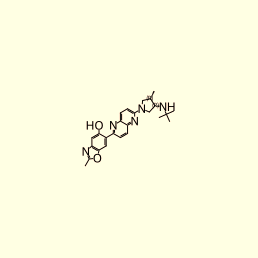 Cc1nc2cc(O)c(-c3ccc4nc(N5C[C@@H](C)[C@@H](NC(C)(C)C)C5)ccc4n3)cc2o1